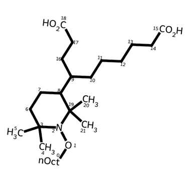 CCCCCCCCON1C(C)(C)CCC(C(CCCCCC(=O)O)CCC(=O)O)C1(C)C